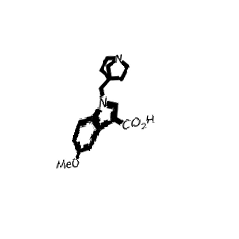 COc1ccc2c(c1)c(C(=O)O)cn2CC12CCN(CC1)C2